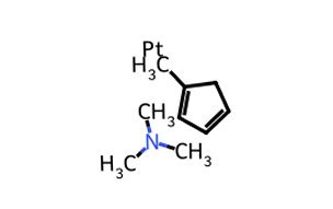 CC1=CC=CC1.CN(C)C.[Pt]